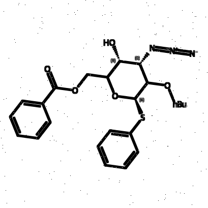 CCCCOC1[C@@H](Sc2ccccc2)OC(COC(=O)c2ccccc2)[C@H](O)[C@@H]1N=[N+]=[N-]